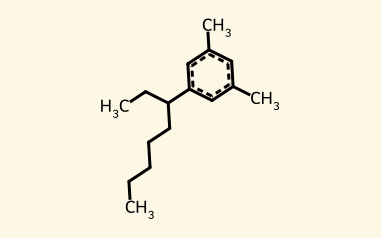 CCCCCC(CC)c1cc(C)cc(C)c1